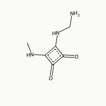 CNc1c(NCN)c(=O)c1=O